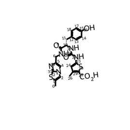 Cc1cn2cc(CNC(=O)[C@H](Cc3ccc(O)cc3)NC(=O)Nc3cc(C)c(C(=O)O)s3)nc2s1